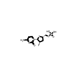 Nc1ccn([C@@H]2S[C@H](COP(=O)(O)O)C[C@@H]2F)c(=O)n1